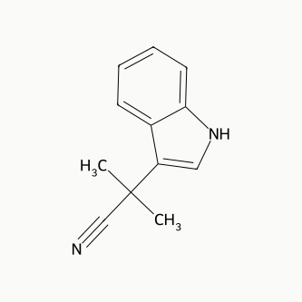 CC(C)(C#N)c1c[nH]c2ccccc12